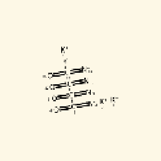 [K+].[K+].[K+].[K+].[N-]=C=O.[N-]=C=O.[N-]=C=O.[N-]=C=O